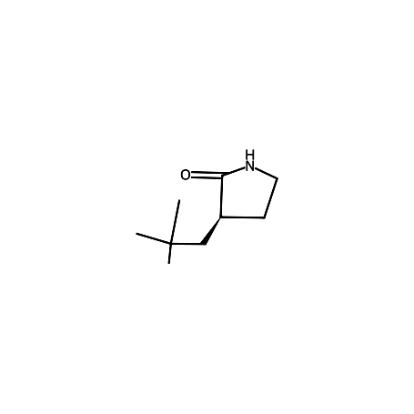 CC(C)(C)C[C@@H]1CCNC1=O